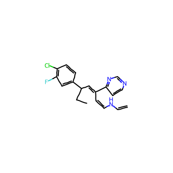 C=CN/C=C\C(=C/C(CC)c1ccc(Cl)c(F)c1)c1ccncn1